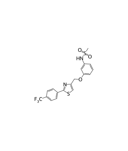 CS(=O)(=O)Nc1cccc(OCc2csc(-c3ccc(C(F)(F)F)cc3)n2)c1